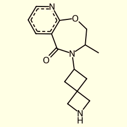 CC1COc2ncccc2C(=O)N1C1CC2(CNC2)C1